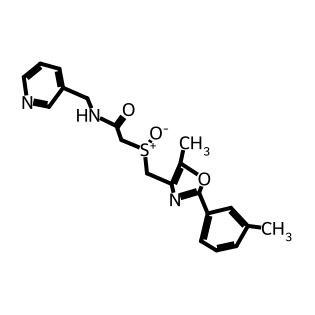 Cc1cccc(-c2nc(C[S+]([O-])CC(=O)NCc3cccnc3)c(C)o2)c1